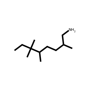 CCC(C)(C)C(C)CCC(C)CN